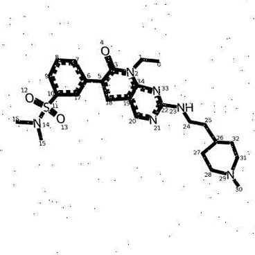 CCn1c(=O)c(-c2cccc(S(=O)(=O)N(C)C)c2)cc2cnc(NCCC3CCN(C)CC3)nc21